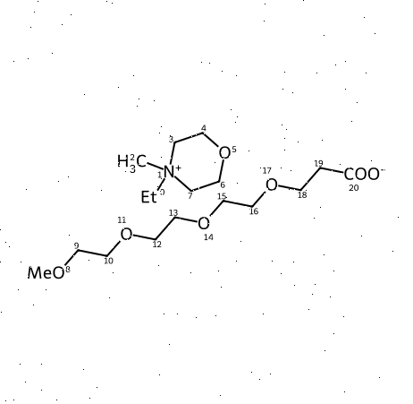 CC[N+]1(C)CCOCC1.COCCOCCOCCOCCC(=O)[O-]